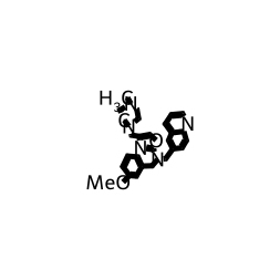 COc1cccc(CN(Cc2ccc3ncccc3c2)c2nc(CN3CCN(C)CC3)co2)c1